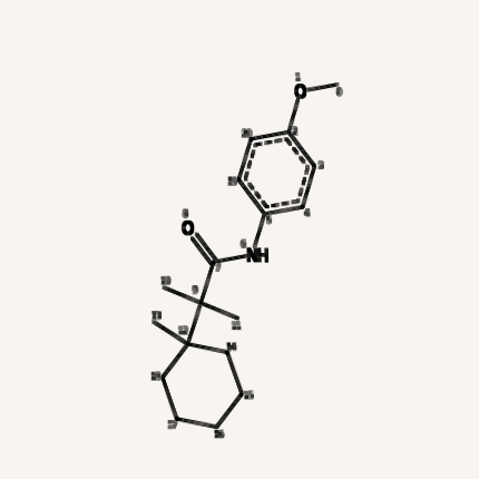 COc1ccc(NC(=O)C(C)(C)C2(C)CCCCC2)cc1